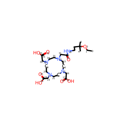 CCOC(C)(C)CCNC(=O)CN1CCN(CC(=O)O)CCN(CC(=O)O)CCN(CC(=O)O)CC1